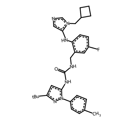 Cc1ccc(-n2nc(C(C)(C)C)cc2NC(=O)NCc2cc(F)ccc2Nc2cncn2CC2CCC2)cc1